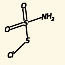 NS(=O)(=O)SCl